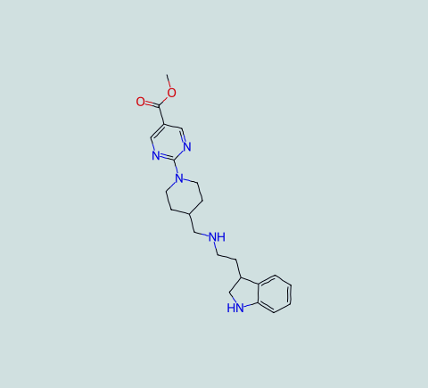 COC(=O)c1cnc(N2CCC(CNCCC3CNc4ccccc43)CC2)nc1